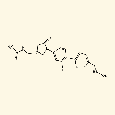 CNCc1ccc(-c2ccc(N3C[C@H](CNC(C)=O)OC3=O)cc2F)cc1